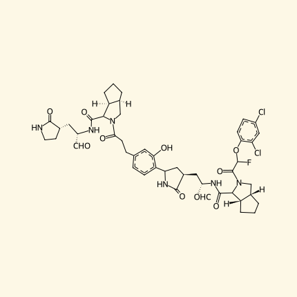 O=C[C@H](C[C@@H]1CCNC1=O)NC(=O)C1[C@H]2CCC[C@H]2CN1C(=O)CCc1ccc(C2C[C@@H](C[C@@H](C=O)NC(=O)C3[C@H]4CCC[C@H]4CN3C(=O)C(F)Oc3ccc(Cl)cc3Cl)C(=O)N2)c(O)c1